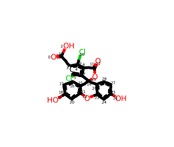 O=C(O)c1cc(Cl)c2c(c1Cl)C(=O)OC21c2ccc(O)cc2Oc2cc(O)ccc21